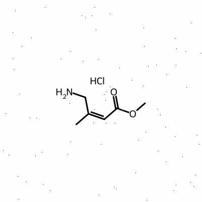 COC(=O)C=C(C)CN.Cl